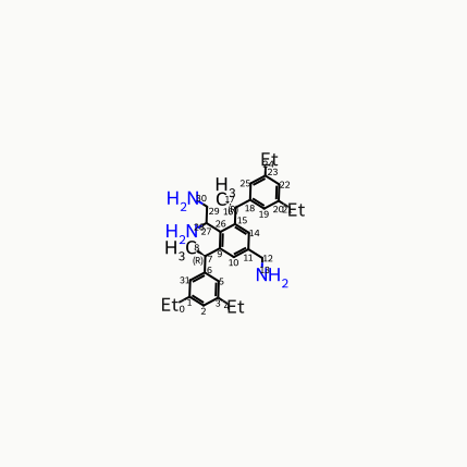 CCc1cc(CC)cc([C@@H](C)c2cc(CN)cc([C@H](C)c3cc(CC)cc(CC)c3)c2C(N)CN)c1